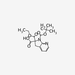 CCOC(=O)C1(C(=O)O)Cc2cccnc2N1C(=O)OC(C)(C)C